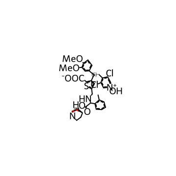 COc1ccc([C@H](Cc2c(Cl)c[n+](O)cc2Cl)c2cc(CNC(C(=O)O[C@H]3CN4CCC3CC4)c3ccccc3C)sc2C(=O)[O-])cc1OC